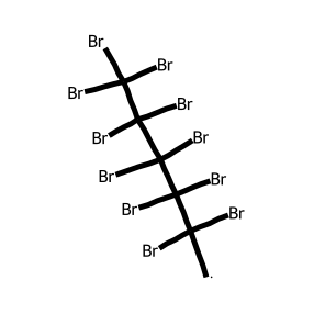 [CH2]C(Br)(Br)C(Br)(Br)C(Br)(Br)C(Br)(Br)C(Br)(Br)Br